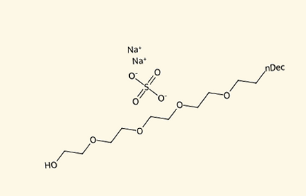 CCCCCCCCCCCCOCCOCCOCCOCCO.O=S(=O)([O-])[O-].[Na+].[Na+]